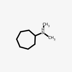 C[SiH](C)C1CCCCCC1